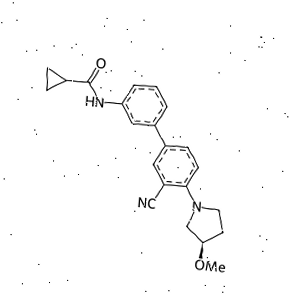 CO[C@@H]1CCN(c2ccc(-c3cccc(NC(=O)C4CC4)c3)cc2C#N)C1